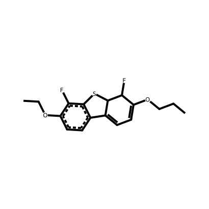 CCCOC1=CC=C2c3ccc(OCC)c(F)c3SC2C1F